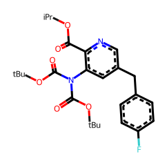 CC(C)OC(=O)c1ncc(Cc2ccc(F)cc2)cc1N(C(=O)OC(C)(C)C)C(=O)OC(C)(C)C